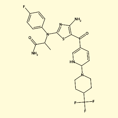 CC(C(N)=O)N(c1ccc(F)cc1)c1nc(N)c(C(=O)C2=CNC(N3CCC(C(F)(F)F)CC3)C=C2)s1